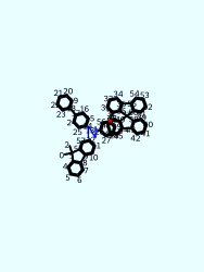 CC1(C)c2ccccc2-c2ccc(N(c3ccc(-c4ccccc4)cc3)c3cccc(-c4cccc5c4C4(c6ccccc6-c6ccccc64)c4ccccc4-5)c3)cc21